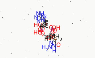 CO[C@H]1[C@H]2OP(=O)(O)OCC34CC[C@@H]3[C@@H](n3cnc5c(N)ncnc53)[C@H](O)[C@@H]4OP(=O)(O)OC[C@H]1O[C@H]2c1scc2c(=O)[nH]c(N)nc12